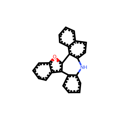 c1ccc2c(c1)Nc1ccc3ccccc3c1-c1oc3ccccc3c1-2